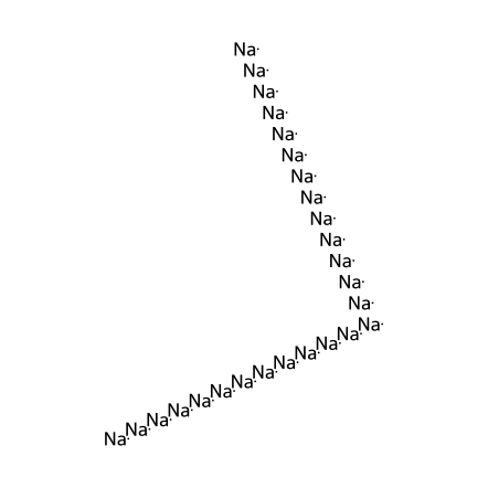 [Na].[Na].[Na].[Na].[Na].[Na].[Na].[Na].[Na].[Na].[Na].[Na].[Na].[Na].[Na].[Na].[Na].[Na].[Na].[Na].[Na].[Na].[Na].[Na].[Na].[Na]